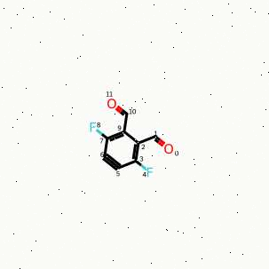 O=Cc1c(F)c#cc(F)c1C=O